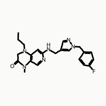 CCCN1CC(=O)N(C)c2cnc(NCc3cnn(Cc4ccc(F)cc4)c3)cc21